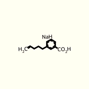 C=CCCCc1cccc(C(=O)O)c1.[NaH]